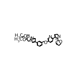 CC(C)(C)OC(=O)Cn1cc(-c2cccc(COc3ccc(-c4ccnn4C4CCCCO4)nc3)c2)cn1